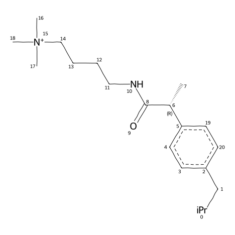 CC(C)Cc1ccc([C@@H](C)C(=O)NCCCC[N+](C)(C)C)cc1